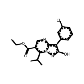 CCOC(=O)c1cnc2c(-c3cccc(Cl)c3)c(O)nn2c1C(C)C